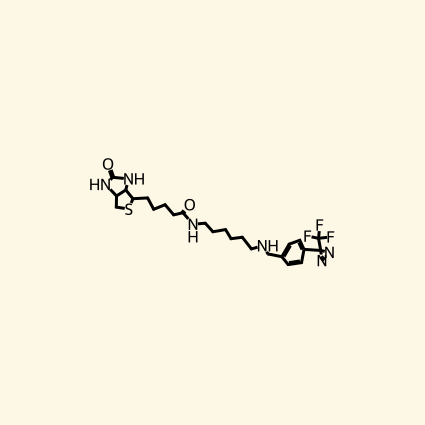 O=C(CCCCC1SCC2NC(=O)NC21)NCCCCCCNCc1ccc(C2(C(F)(F)F)N=N2)cc1